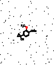 COc1ccc(C2(C#N)CC2)cc1OC(F)(F)F